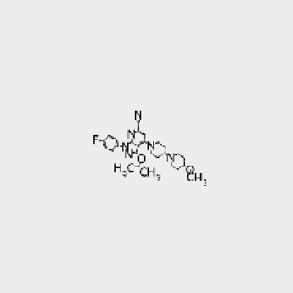 COC1CCN(C2CCN(c3cc(C#N)nc4c3c(OC(C)C)nn4-c3ccc(F)cc3)CC2)CC1